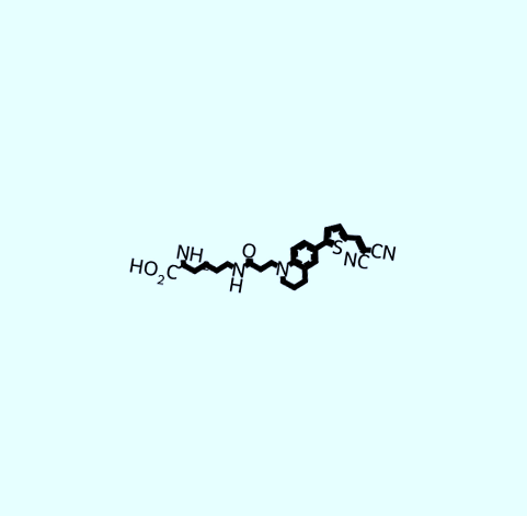 N#CC(C#N)=Cc1ccc(-c2ccc3c(c2)CCCN3CCC(=O)NCCCC[C@@H](N)C(=O)O)s1